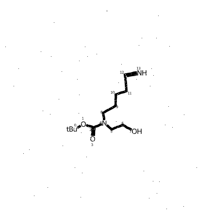 CC(C)(C)OC(=O)N(CCO)CCCCC=N